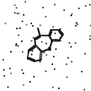 CC1=Cc2ccccc2Sc2ccccc21